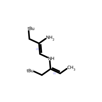 C/C=C(/CC(C)(C)C)N/C=C(\N)CC(C)(C)C